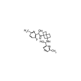 Cc1cncc(C(O)NC23CCC24CCC4(NC(O)c2nc(C)ccc2F)C3)n1